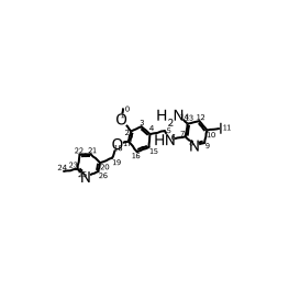 COc1cc(CNc2ncc(I)cc2N)ccc1OCc1ccc(C)nc1